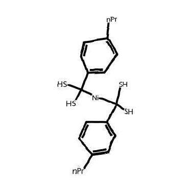 CCCc1ccc([C](S)(S)[Ni][C](S)(S)c2ccc(CCC)cc2)cc1